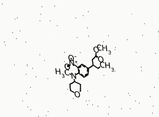 CCC(CC(=O)OC)c1ccc(N(C)C2CCOCC2)c([N+](=O)[O-])c1